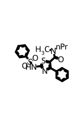 CCCN(C)C(=O)c1sc(NS(=O)(=O)c2ccccc2)nc1-c1ccccc1